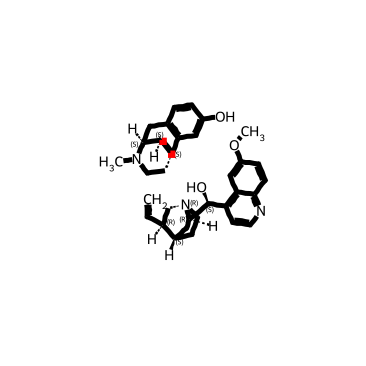 C=C[C@H]1C[N@]2CC[C@H]1C[C@@H]2[C@@H](O)c1ccnc2ccc(OC)cc12.CN1CC[C@@]23CCCC[C@@H]2[C@@H]1Cc1ccc(O)cc13